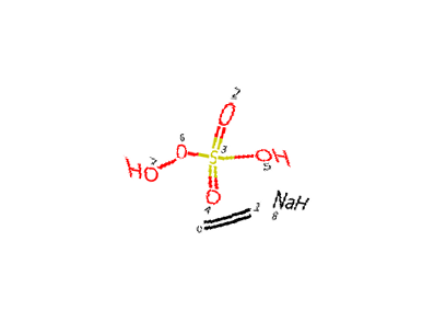 C=C.O=S(=O)(O)OO.[NaH]